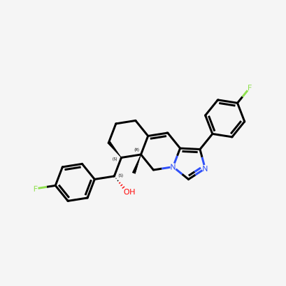 C[C@]12Cn3cnc(-c4ccc(F)cc4)c3C=C1CCC[C@@H]2[C@H](O)c1ccc(F)cc1